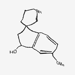 COc1ccc2c(c1)C(O)CC21CCNC1